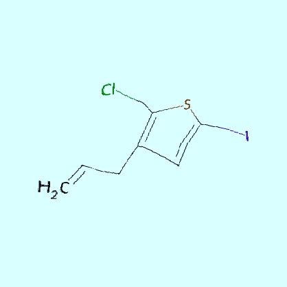 C=CCc1cc(I)sc1Cl